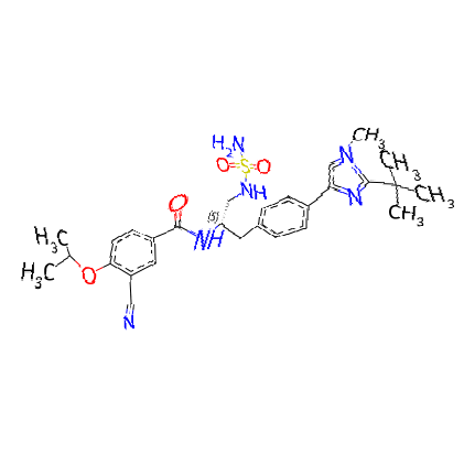 CC(C)Oc1ccc(C(=O)N[C@H](CNS(N)(=O)=O)Cc2ccc(-c3cn(C)c(C(C)(C)C)n3)cc2)cc1C#N